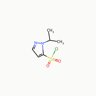 CC(C)n1nccc1S(=O)(=O)Cl